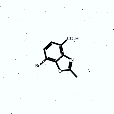 Cc1nc2c(C(=O)O)ccc(Br)c2o1